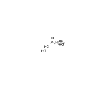 Cl.Cl.Cl.[AlH3].[LiH].[MgH2]